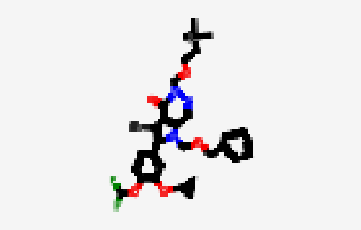 CC(C)c1c(-c2ccc(OC(F)F)c(OC3CC3)c2)n(COCc2ccccc2)c2cnn(COCC[Si](C)(C)C)c(=O)c12